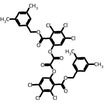 Cc1cc(C)cc(COC(=O)c2c(OC(=O)C(=O)Oc3cc(Cl)c(Cl)c(Cl)c3C(=O)OCc3cc(C)cc(C)c3)cc(Cl)c(Cl)c2Cl)c1